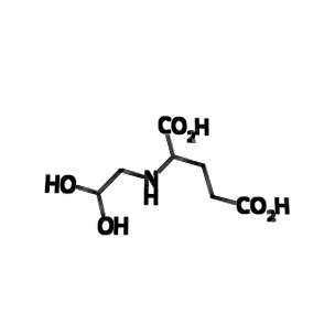 O=C(O)CCC(NCC(O)O)C(=O)O